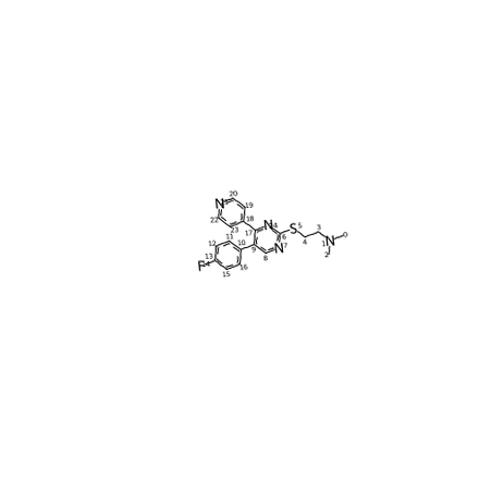 CN(C)CCSc1ncc(-c2ccc(F)cc2)c(-c2ccncc2)n1